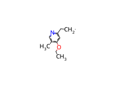 [CH2]Cc1cc(OCC)c(C)cn1